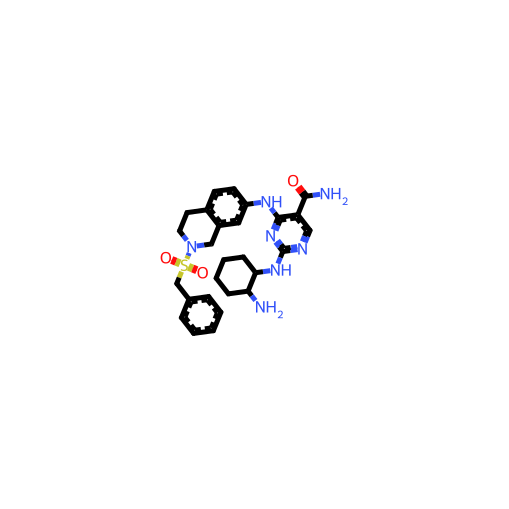 NC(=O)c1cnc(NC2CCCCC2N)nc1Nc1ccc2c(c1)CN(S(=O)(=O)Cc1ccccc1)CC2